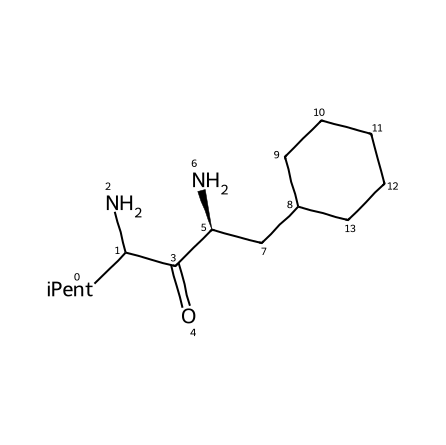 [CH2]CCC(C)C(N)C(=O)[C@@H](N)CC1CCCCC1